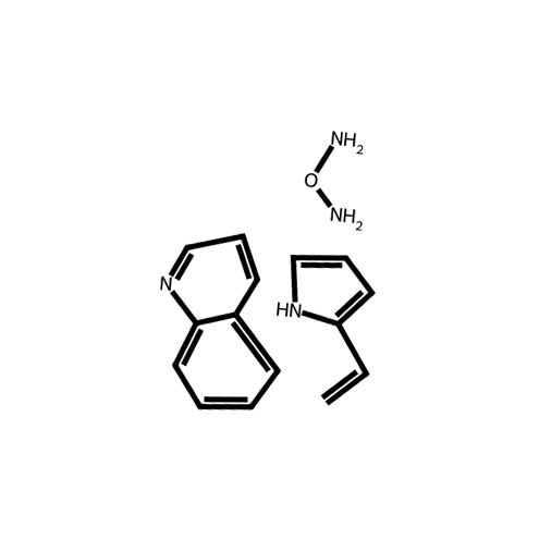 C=Cc1ccc[nH]1.NON.c1ccc2ncccc2c1